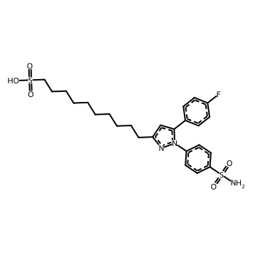 NS(=O)(=O)c1ccc(-n2nc(CCCCCCCCCCS(=O)(=O)O)cc2-c2ccc(F)cc2)cc1